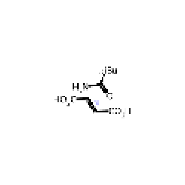 CC[C@H](C)C(N)=O.O=C(O)/C=C/C(=O)O